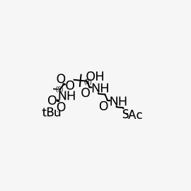 CC(=O)SCCNC(=O)CCNC(=O)[C@H](O)C(C)(C)COC(=O)[C@H](C)NC(=O)OC(C)(C)C